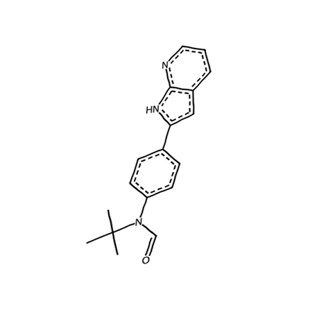 CC(C)(C)N(C=O)c1ccc(-c2cc3cccnc3[nH]2)cc1